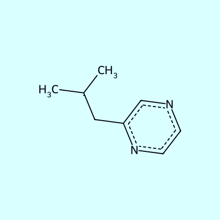 C[C](C)Cc1cnccn1